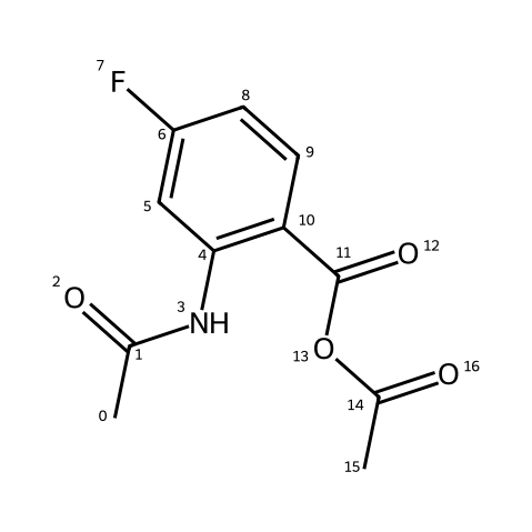 CC(=O)Nc1cc(F)ccc1C(=O)OC(C)=O